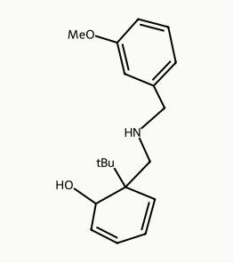 COc1cccc(CNCC2(C(C)(C)C)C=CC=CC2O)c1